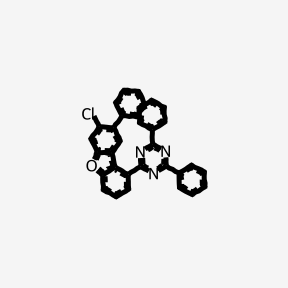 Clc1cc2oc3cccc(-c4nc(-c5ccccc5)nc(-c5ccccc5)n4)c3c2cc1-c1ccccc1